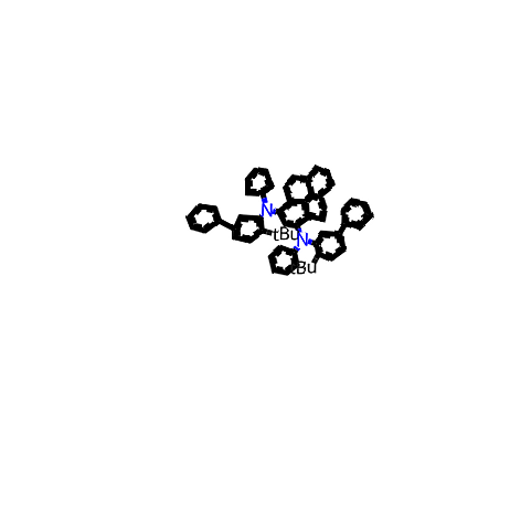 CC(C)(C)c1ccc(-c2ccccc2)cc1N(c1ccccc1)c1cc(N(c2ccccc2)c2cc(-c3ccccc3)ccc2C(C)(C)C)c2ccc3cccc4ccc1c2c43